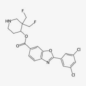 O=C(OC1CCNCC1(CF)CF)c1ccc2nc(-c3cc(Cl)cc(Cl)c3)oc2c1